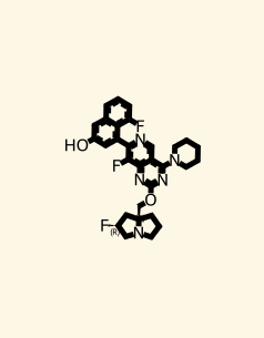 Oc1cc(-c2ncc3c(N4CCCCC4)nc(OC[C@@]45CCCN4C[C@H](F)C5)nc3c2F)c2c(F)cccc2c1